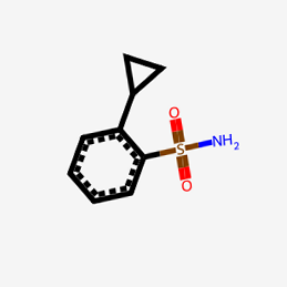 NS(=O)(=O)c1ccccc1C1CC1